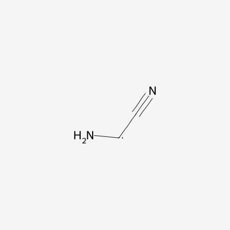 N#C[CH]N